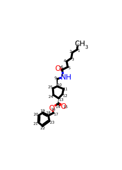 CCCCCCC(=O)NC[C@H]1CC[C@H](C(=O)OCc2ccccc2)CC1